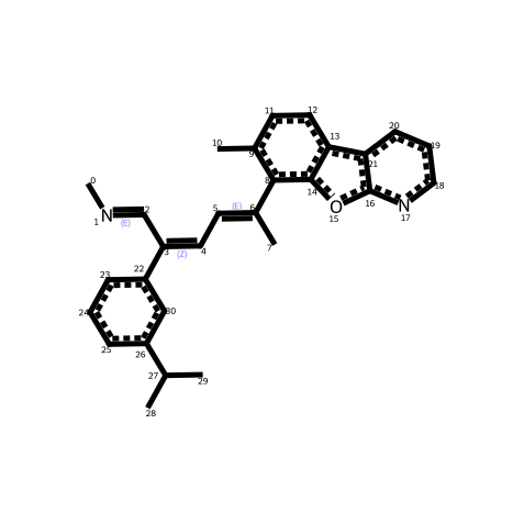 C/N=C/C(=C\C=C(/C)c1c(C)ccc2c1oc1ncccc12)c1cccc(C(C)C)c1